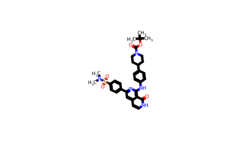 CN(C)S(=O)(=O)c1ccc(-c2cc3cc[nH]c(=O)c3c(Nc3ccc(C4CCN(C(=O)OC(C)(C)C)CC4)cc3)n2)cc1